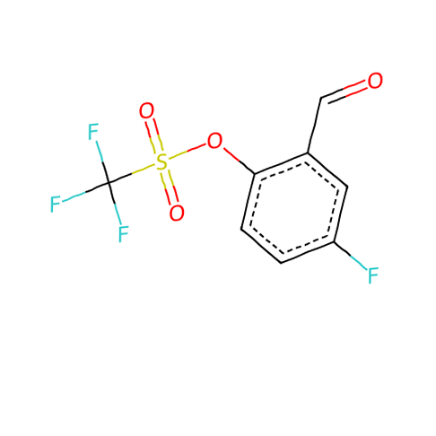 O=Cc1cc(F)ccc1OS(=O)(=O)C(F)(F)F